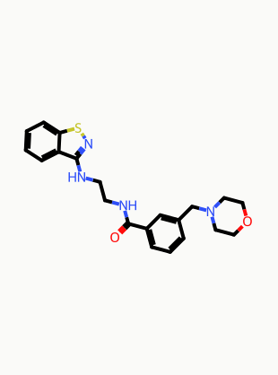 O=C(NCCNc1nsc2ccccc12)c1cccc(CN2CCOCC2)c1